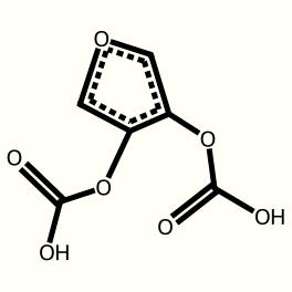 O=C(O)Oc1cocc1OC(=O)O